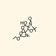 CCOC(=O)CN(C)C(=O)C(OC(C)(C)C)[C@H](N=C=O)C(=O)O